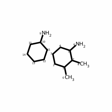 CC1CCCC(N)C1C.NC1CCCCC1